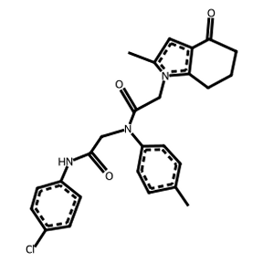 Cc1ccc(N(CC(=O)Nc2ccc(Cl)cc2)C(=O)Cn2c(C)cc3c2CCCC3=O)cc1